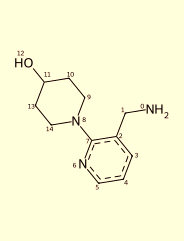 NCc1cccnc1N1CCC(O)CC1